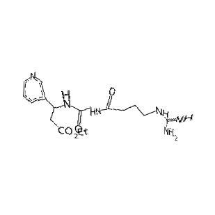 CCOC(=O)CC(NC(=O)CNC(=O)CCCNC(=N)N)c1cccnc1